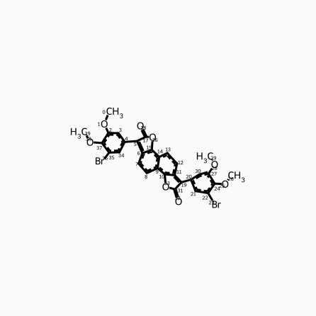 COc1cc(C2=c3ccc4c5c(ccc4c3OC2=O)=C(c2cc(Br)c(OC)c(OC)c2)C(=O)O5)cc(Br)c1OC